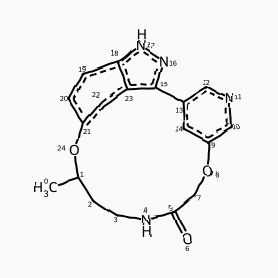 CC1CCNC(=O)COc2cncc(c2)-c2n[nH]c3ccc(cc23)O1